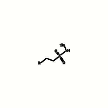 CC(C)(C)NS(=O)(=O)CCBr